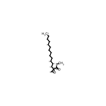 CCCCCCCCCCCCCC1(C(=O)SC)CO1